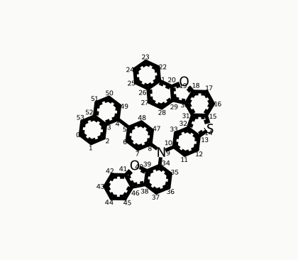 c1ccc2c(-c3ccc(N(c4ccc5sc6ccc7oc8c9ccccc9ccc8c7c6c5c4)c4cccc5c4oc4ccccc45)cc3)cccc2c1